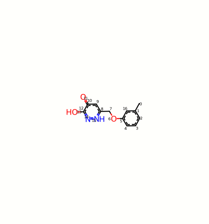 Cc1cccc(OCc2cc(=O)c(O)n[nH]2)c1